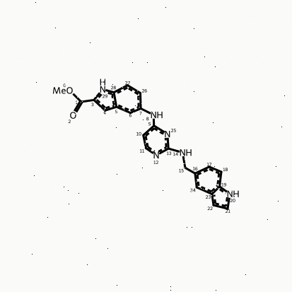 COC(=O)c1cc2cc(Nc3ccnc(NCc4ccc5[nH]ccc5c4)n3)ccc2[nH]1